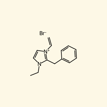 C=C[n+]1ccn(CC)c1Cc1ccccc1.[Br-]